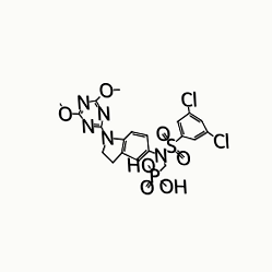 COc1nc(OC)nc(N2CCc3cc(N(CP(=O)(O)O)S(=O)(=O)c4cc(Cl)cc(Cl)c4)ccc32)n1